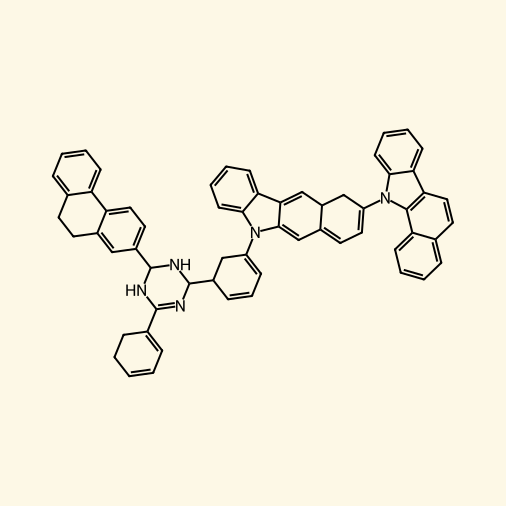 C1=CCCC(C2=NC(C3C=CC=C(n4c5c(c6ccccc64)=CC4CC(n6c7ccccc7c7ccc8ccccc8c76)=CC=C4C=5)C3)NC(c3ccc4c(c3)CCc3ccccc3-4)N2)=C1